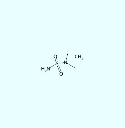 C.CN(C)S(N)(=O)=O